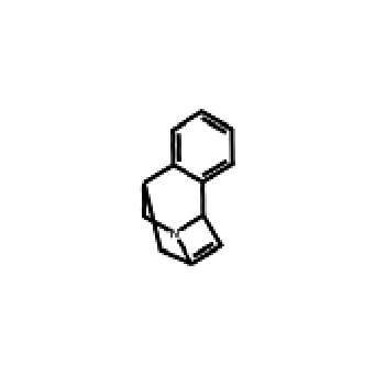 C1=C2CC3CN2C1c1ccccc13